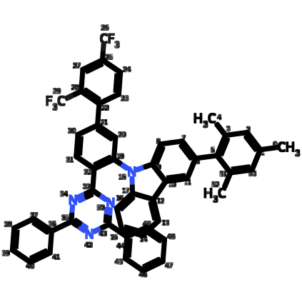 Cc1cc(C)c(-c2ccc3c(c2)c2ccccc2n3-c2cc(-c3ccc(C(F)(F)F)cc3C(F)(F)F)ccc2-c2nc(-c3ccccc3)nc(-c3ccccc3)n2)c(C)c1